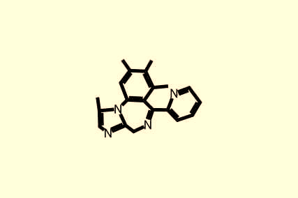 Cc1cc2c(c(C)c1C)C(c1ccccn1)=NCc1ncc(C)n1-2